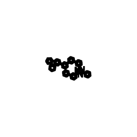 c1ccc(-c2cccc(-c3nc(-c4ccccc4)nc(-c4cccc(-c5cccc(-c6cccc(-c7ccc8c(c7)C7(CCCCC7)c7ccccc7-8)c6)c5)c4)n3)c2)cc1